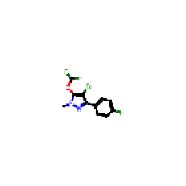 Cn1nc(-c2ccc(F)cc2)c(Br)c1OC(F)F